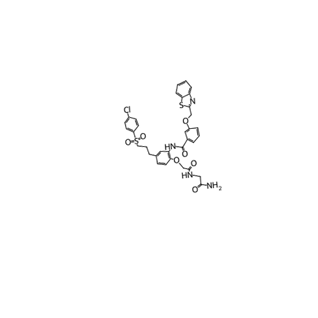 NC(=O)CNC(=O)COc1ccc(CCCS(=O)(=O)c2ccc(Cl)cc2)cc1NC(=O)c1cccc(OCc2nc3ccccc3s2)c1